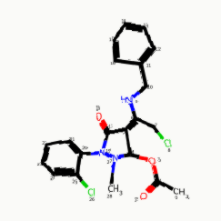 CC(=O)OC1C(=C(CCl)NCc2ccccc2)C(=O)N(c2ccccc2Cl)N1C